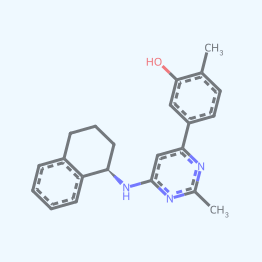 Cc1nc(N[C@@H]2CCCc3ccccc32)cc(-c2ccc(C)c(O)c2)n1